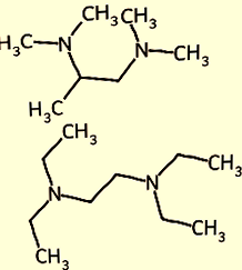 CC(CN(C)C)N(C)C.CCN(CC)CCN(CC)CC